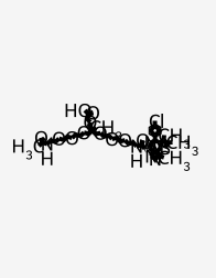 CC(=O)NCCOCCOCCOCC(C)(COCCOCCOCCNC(=O)C[C@@H]1N=C(c2ccc(Cl)cc2)c2c(sc(C)c2C)-n2c(C)nnc21)COCC(=O)O